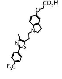 Cc1nc(-c2ccc(C(F)(F)F)cc2)sc1CCN1CCc2cc(OCC(=O)O)ccc21